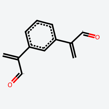 C=C([C]=O)c1cccc(C(=C)[C]=O)c1